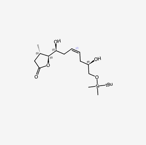 C[C@H]1CC(=O)O[C@@H]1[C@@H](O)C/C=C\C[C@@H](O)CO[Si](C)(C)C(C)(C)C